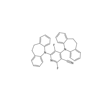 N#Cc1c(F)nc(N2c3ccccc3CCc3ccccc32)c(F)c1N1c2ccccc2CCc2ccccc21